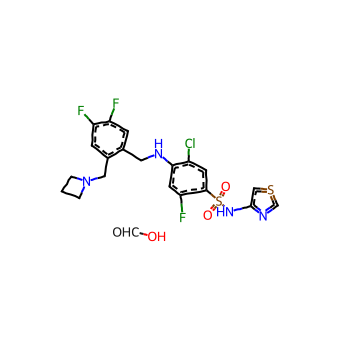 O=CO.O=S(=O)(Nc1cscn1)c1cc(Cl)c(NCc2cc(F)c(F)cc2CN2CCC2)cc1F